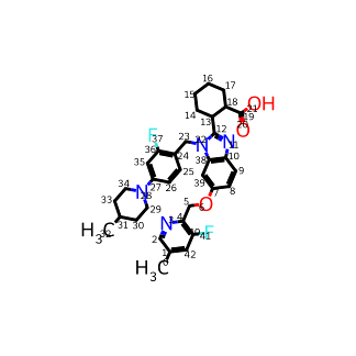 Cc1cnc(COc2ccc3nc(C4CCCCC4C(=O)O)n(Cc4ccc(N5CCC(C)CC5)cc4F)c3c2)c(F)c1